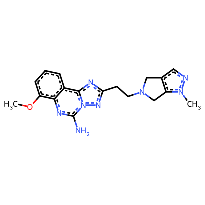 COc1cccc2c1nc(N)n1nc(CCN3Cc4cnn(C)c4C3)nc21